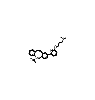 CC(=O)N1Cc2ccc(-c3cccc(OCCCN(C)C)n3)cc2C=Cc2ccccc21